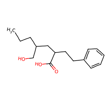 CCCC(CO)CC(CCc1ccccc1)C(=O)O